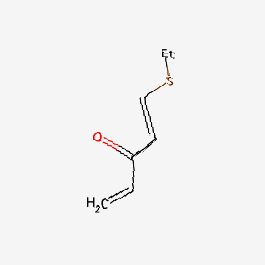 C=CC(=O)C=CSCC